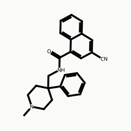 CN1CCC(CNC(=O)c2cc(C#N)cc3ccccc23)(c2ccccc2)CC1